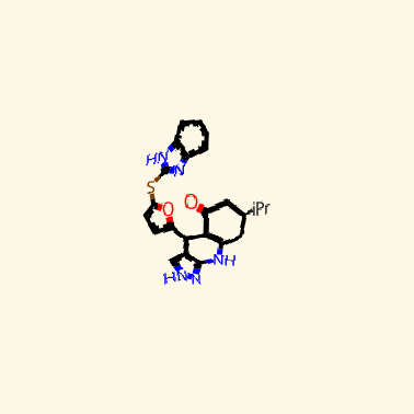 CC(C)[C@@H]1CC(=O)C2=C(C1)Nc1n[nH]cc1C2c1ccc(Sc2nc3ccccc3[nH]2)o1